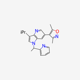 Cc1noc(C)c1-c1cnc2c(C(C)C)cn(C(C)c3ccccn3)c2c1